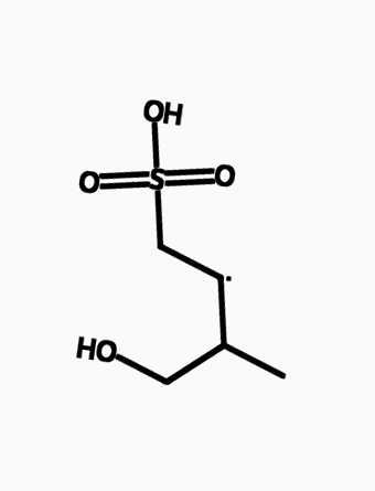 CC([CH]CS(=O)(=O)O)CO